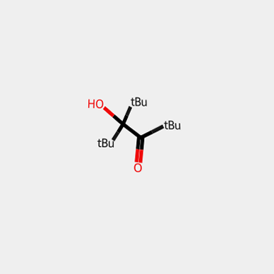 CC(C)(C)C(=O)C(O)(C(C)(C)C)C(C)(C)C